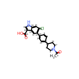 CC(=O)N1CCC(c2ccc(-c3cc4c(C(=O)O)c[nH]c4cc3Cl)cc2)CC1